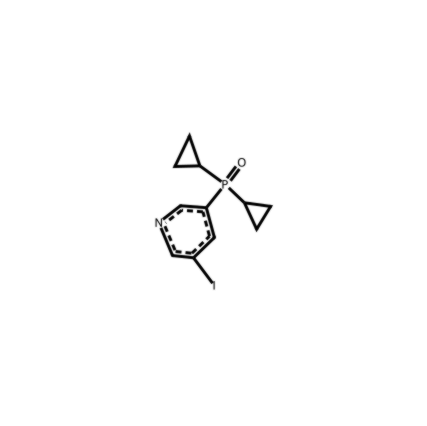 O=P(c1cncc(I)c1)(C1CC1)C1CC1